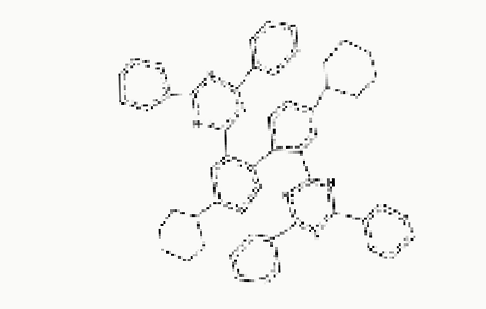 c1ccc(-c2nc(-c3ccccc3)nc(-c3cc(C4CCCCC4)ccc3-c3ccc(C4CCCCC4)cc3-c3nc(-c4ccccc4)nc(-c4ccccc4)n3)n2)cc1